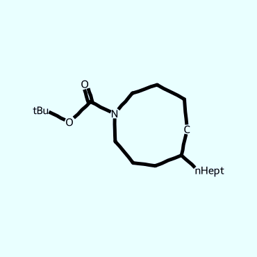 CCCCCCCC1CCCCN(C(=O)OC(C)(C)C)CCC1